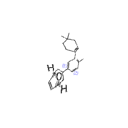 C=C(C)/C=C\C(=C/CC1=CCC(C)(C)CC1)C1=C[C@H]2C=C[C@@H](C1)O2